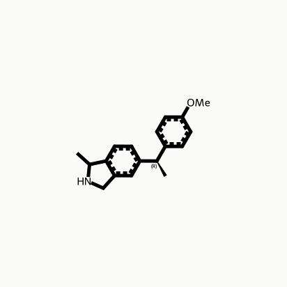 COc1ccc([C@@H](C)c2ccc3c(c2)CNC3C)cc1